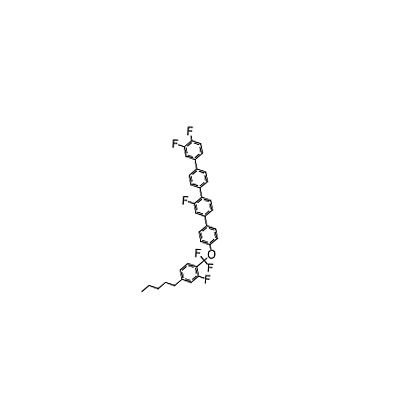 CCCCCc1ccc(C(F)(F)Oc2ccc(-c3ccc(-c4ccc(-c5ccc(F)c(F)c5)cc4)c(F)c3)cc2)c(F)c1